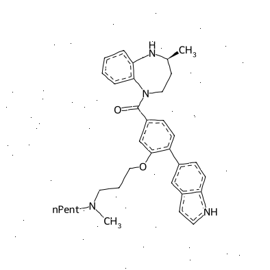 CCCCCN(C)CCCOc1cc(C(=O)N2CC[C@H](C)Nc3ccccc32)ccc1-c1ccc2[nH]ccc2c1